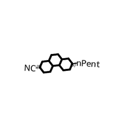 CCCCC[C@H]1CCC2C(CCC3C[C@@H](C#N)CCC32)C1